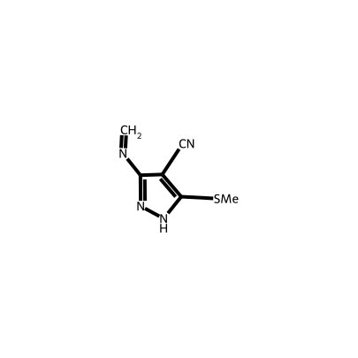 C=Nc1n[nH]c(SC)c1C#N